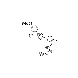 COC(=O)NCc1cc(-c2ccn(-c3ccc(OC)cc3Cl)n2)ccc1C